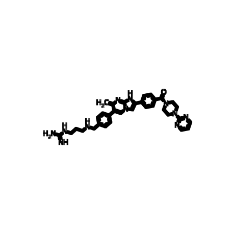 C=C1N=C2NC(c3ccc(C(=O)N4CCN(c5ncccn5)CC4)cc3)=CN2C=C1c1ccc(CNCCCNC(=N)N)cc1